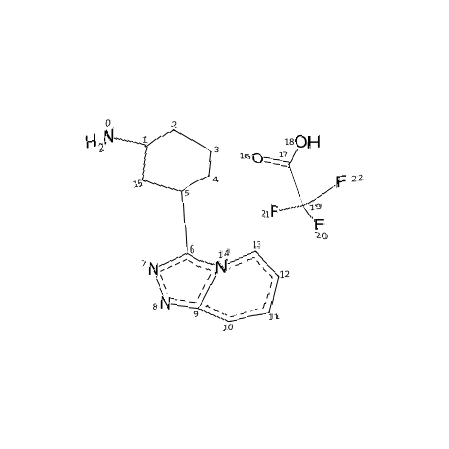 NC1CCCC(c2nnc3ccccn23)C1.O=C(O)C(F)(F)F